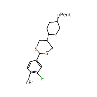 CCCCC[C@H]1CC[C@H](C2CSC(c3ccc(CCC)c(F)c3)SC2)CC1